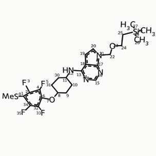 CSc1c(F)c(F)c(OC2CCC(Nc3ncnc4c3ccn4COCC[Si](C)(C)C)CC2)c(F)c1F